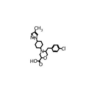 Cc1cnn(C2CCC(N3CC(C(=O)O)OCC3Cc3ccc(Cl)cc3)CC2)c1